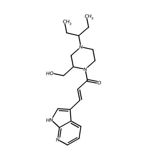 CCC(CC)N1CCN(C(=O)/C=C/c2c[nH]c3ncccc23)C(CO)C1